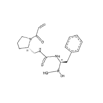 C=CC(=O)N1CCC[C@H]1CNC(=O)N[C@@H](Cc1ccccc1)B(O)O